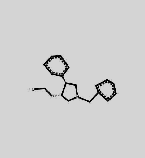 OCC[C@H]1CN(Cc2ccccc2)C[C@@H]1c1ccccc1